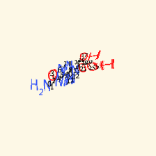 NCC(=O)Nc1ncnc2c1ncn2[C@H]1CC(O)[C@@H](CO)O1